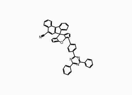 N#Cc1cc2c(c3ccccc13)-c1ccccc1C21c2ccccc2Oc2c(-c3ccc(-c4nc(-c5ccccc5)nc(-c5ccccc5)n4)cc3)cccc21